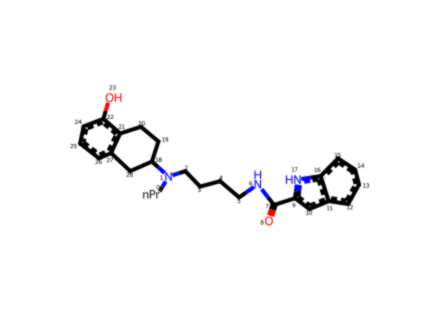 CCCN(CCCCNC(=O)c1cc2ccccc2[nH]1)C1CCc2c(O)cccc2C1